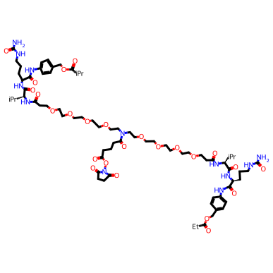 CCC(=O)OCc1ccc(NC(=O)[C@H](CCCNC(N)=O)NC(=O)[C@@H](NC(=O)CCOCCOCCOCCOCCN(CCOCCOCCOCCOCCC(=O)N[C@H](C(=O)NC(CCCNC(N)=O)C(=O)Nc2ccc(COC(=O)C(C)C)cc2)C(C)C)C(=O)CCCC(=O)ON2C(=O)CCC2=O)C(C)C)cc1